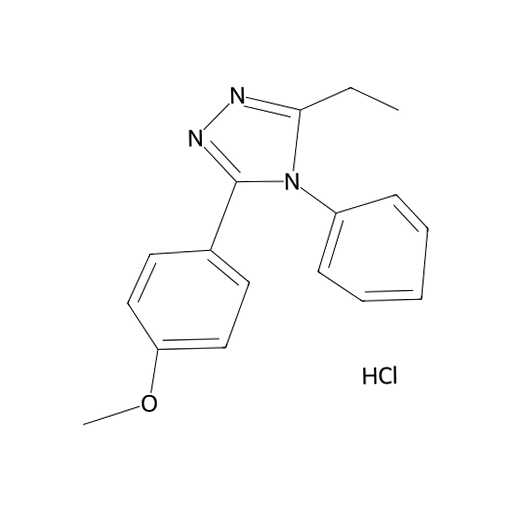 CCc1nnc(-c2ccc(OC)cc2)n1-c1ccccc1.Cl